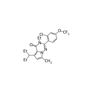 CCC(CC)c1cc(C)n2nc(-c3ccc(OC(F)(F)F)cc3Cl)n(CC)c(=O)c12